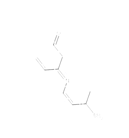 BC(C)/C=C\N=C(/C=C)CC=O